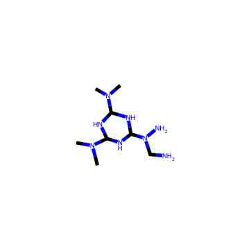 CN(C)C1NC(N(C)C)NC(N(N)CN)N1